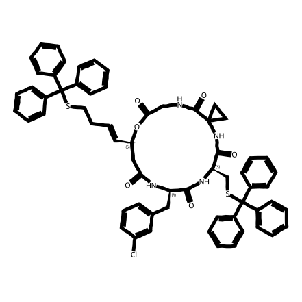 O=C1C[C@@H](C=CCCSC(c2ccccc2)(c2ccccc2)c2ccccc2)OC(=O)CNC(=O)C2(CC2)NC(=O)[C@@H](CSC(c2ccccc2)(c2ccccc2)c2ccccc2)NC(=O)[C@@H](Cc2cccc(Cl)c2)N1